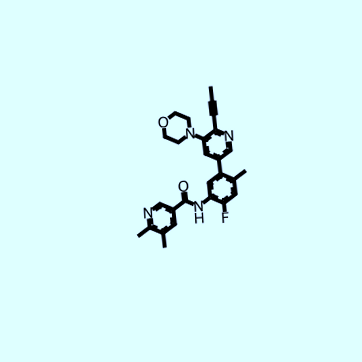 CC#Cc1ncc(-c2cc(NC(=O)c3cnc(C)c(C)c3)c(F)cc2C)cc1N1CCOCC1